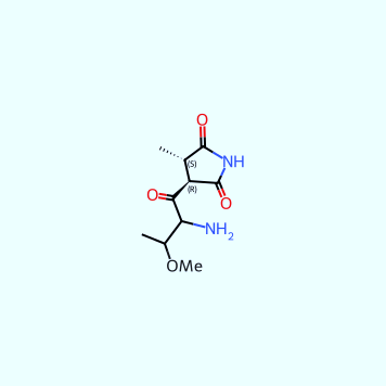 COC(C)C(N)C(=O)[C@@H]1C(=O)NC(=O)[C@H]1C